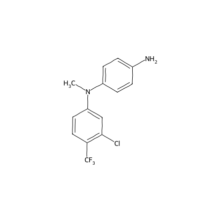 CN(c1ccc(N)cc1)c1ccc(C(F)(F)F)c(Cl)c1